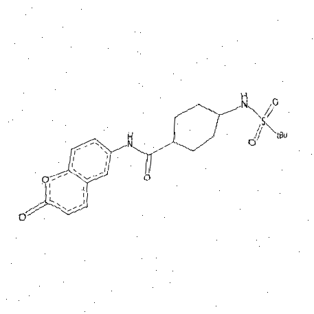 CC(C)(C)S(=O)(=O)NC1CCC(C(=O)Nc2ccc3oc(=O)ccc3c2)CC1